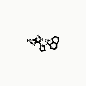 OC(c1cccc2c1CCCC2)[C@H]1CCCN1c1ncnc2[nH]cnc12